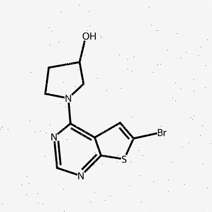 OC1CCN(c2ncnc3sc(Br)cc23)C1